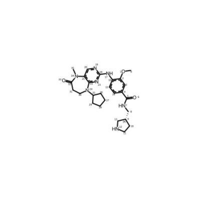 COc1cc(C(=O)NC[C@@H]2CCNC2)ccc1Nc1ncc2c(n1)N(C1CCCC1)CCC(=O)N2C